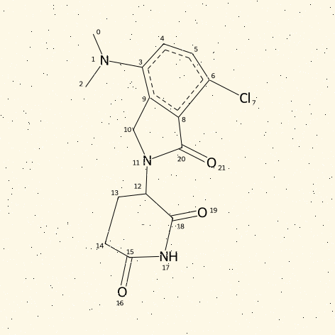 CN(C)c1ccc(Cl)c2c1CN(C1CCC(=O)NC1=O)C2=O